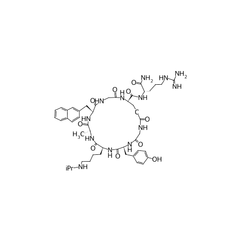 CC(C)NCCCC[C@@H]1NC(=O)[C@H](Cc2ccc(O)cc2)NC(=O)CNC(=O)CC[C@H](C(=O)N[C@@H](CCCNC(=N)N)C(N)=O)NC(=O)CNC(=O)[C@H](Cc2ccc3ccccc3c2)NC(=O)[C@@H](C)NC1=O